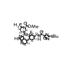 COC(=O)N1C[C@H](Nc2n[nH]c3nccc(-c4ccc(CNC(=O)c5nc(C(C)(C)C)no5)c(F)c4)c23)CC[C@@H]1C